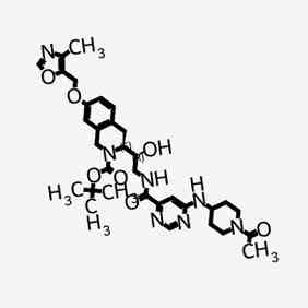 CC(=O)N1CCC(Nc2cc(C(=O)NC[C@@H](O)[C@@H]3Cc4ccc(OCc5ocnc5C)cc4CN3C(=O)OC(C)(C)C)ncn2)CC1